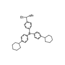 CCCC(CC)c1ccc(B(c2ccc(C3CCCCC3)cc2)c2ccc(C3CCCCC3)cc2)cc1